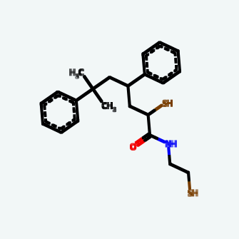 CC(C)(CC(CC(S)C(=O)NCCS)c1ccccc1)c1ccccc1